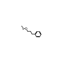 CSOCCCc1ccccc1